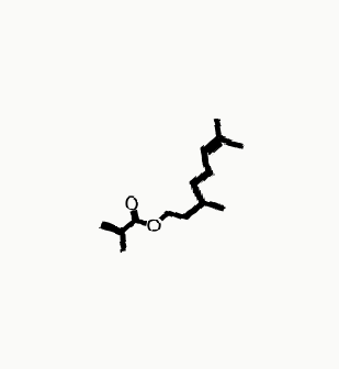 C=C(C)C(=O)OCCC(C)CCC=C(C)C